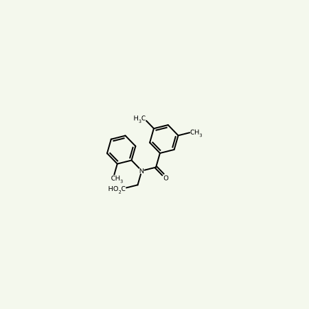 Cc1cc(C)cc(C(=O)N(CC(=O)O)c2ccccc2C)c1